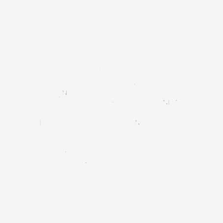 CC(=O)Nc1ncc(-c2cccnc2-c2ccccc2C(F)(F)F)s1